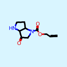 C=CCOC(=O)N1CC(=O)C2NCCC21